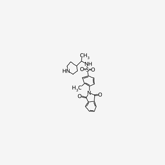 Cc1cc(S(=O)(=O)NC(C)C2CCNCC2)ccc1N1C(=O)c2ccccc2C1=O